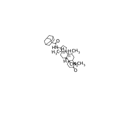 CC1CC2N(C)C(=O)CC[C@]2(C)[C@@H]2CC[C@]3(C)C(NC(=O)C45CC6CC(CC(C6)C4)C5)CC[C@H]3[C@H]12